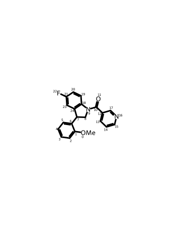 COc1ccccc1C1CN(C(=O)c2cccnc2)c2ccc(F)cc21